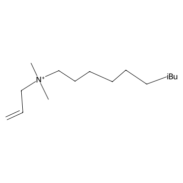 C=CC[N+](C)(C)CCCCCCC(C)CC